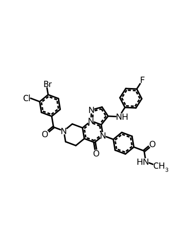 CNC(=O)c1ccc(-n2c(=O)c3c(n4ncc(Nc5ccc(F)cc5)c24)CN(C(=O)c2ccc(Br)c(Cl)c2)CC3)cc1